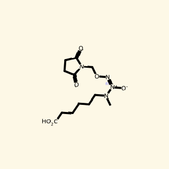 CN(CCCCCC(=O)O)/[N+]([O-])=N\OCN1C(=O)CCC1=O